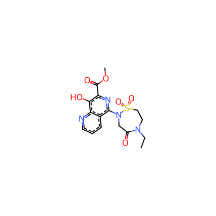 CCN1CCS(=O)(=O)N(c2nc(C(=O)OC)c(O)c3ncccc23)CC1=O